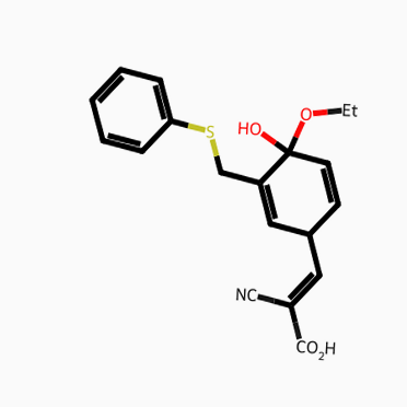 CCOC1(O)C=CC(/C=C(\C#N)C(=O)O)C=C1CSc1ccccc1